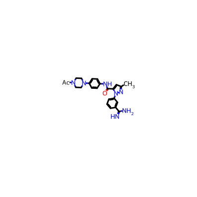 CC(=O)N1CCN(c2ccc(NC(=O)c3cc(C)nn3-c3cccc(C(=N)N)c3)cc2)CC1